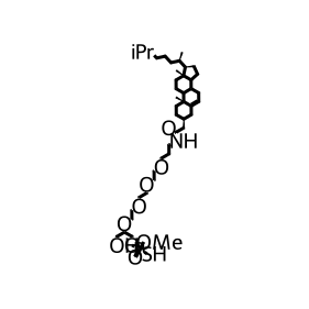 COP(=O)(S)OCC(CO)OCCOCCOCCOCCCNC(=O)C[C@H]1CC[C@@]2(C)C(=CCC3C2CC[C@@]2(C)C3CC[C@@H]2[C@H](C)CCCC(C)C)C1